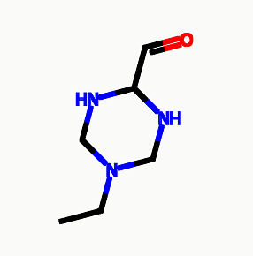 CCN1CNC(C=O)NC1